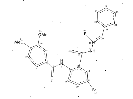 COc1ccc(C(=O)Nc2ccc(Br)cc2C(=O)N[N+](F)=Cc2ccccc2)cc1OC